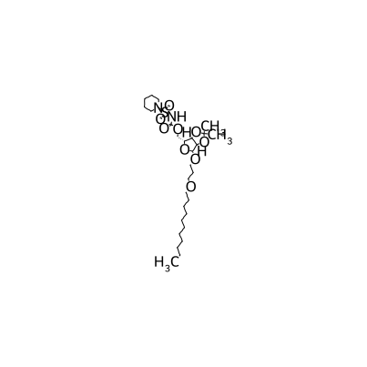 CCCCCCCCCCCOCCCO[C@@H]1O[C@H](COC(=O)NS(=O)(=O)N2CCCCC2)[C@@H]2OC(C)(C)O[C@H]12